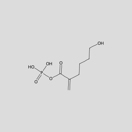 C=C(CCCCO)C(=O)OP(=O)(O)O